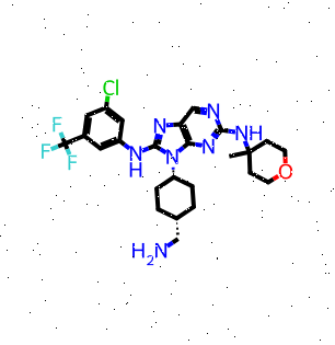 CC1(Nc2ncc3nc(Nc4cc(Cl)cc(C(F)(F)F)c4)n([C@H]4CC[C@@H](CN)CC4)c3n2)CCOCC1